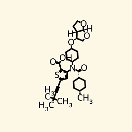 CC(C)(C)C#Cc1cc(N(C(=O)[C@H]2CC[C@H](C)CC2)C2CCC(O[C@@H]3CO[C@H]4OCC[C@H]43)CC2)c(C(=O)O)s1